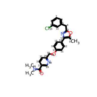 Cc1oc(Cc2cccc(Cl)c2)nc1-c1ccc(OCc2ccc(C(=O)N(C)C)cn2)cc1